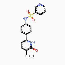 O=C(O)c1ccc(-c2ccc(NS(=O)(=O)c3cccnc3)cc2)[nH]c1=O